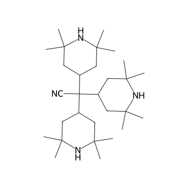 CC1(C)CC(C(C#N)(C2CC(C)(C)NC(C)(C)C2)C2CC(C)(C)NC(C)(C)C2)CC(C)(C)N1